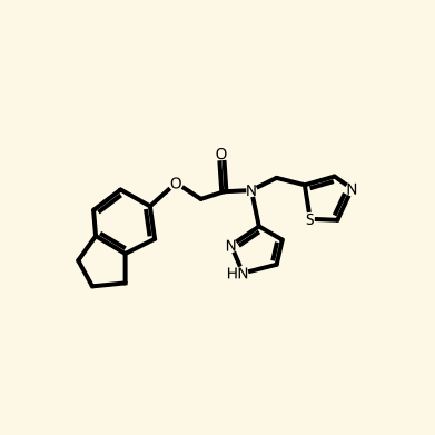 O=C(COc1ccc2c(c1)CCC2)N(Cc1cncs1)c1cc[nH]n1